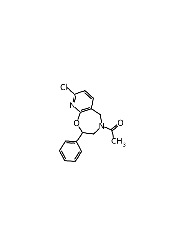 CC(=O)N1Cc2ccc(Cl)nc2OC(c2ccccc2)C1